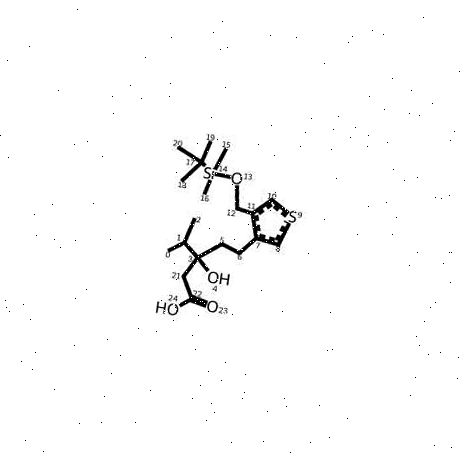 CC(C)C(O)(CCc1cscc1CO[Si](C)(C)C(C)(C)C)CC(=O)O